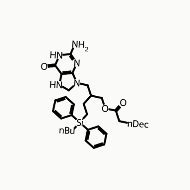 CCCCCCCCCCCC(=O)OCC(CC[Si](CCCC)(c1ccccc1)c1ccccc1)CN1CNc2c1nc(N)[nH]c2=O